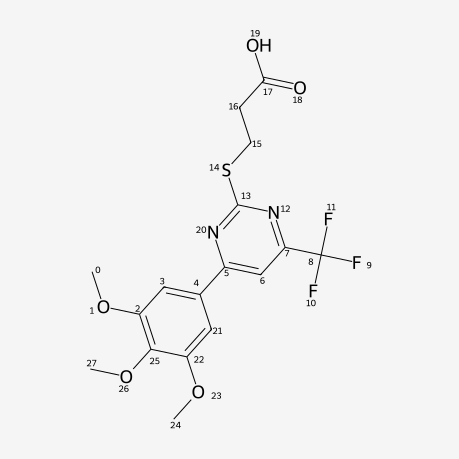 COc1cc(-c2cc(C(F)(F)F)nc(SCCC(=O)O)n2)cc(OC)c1OC